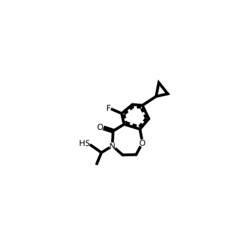 CC(S)N1CCOc2cc(C3CC3)cc(F)c2C1=O